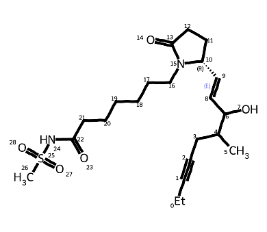 CCC#CCC(C)C(O)/C=C/[C@H]1CCC(=O)N1CCCCCCC(=O)NS(C)(=O)=O